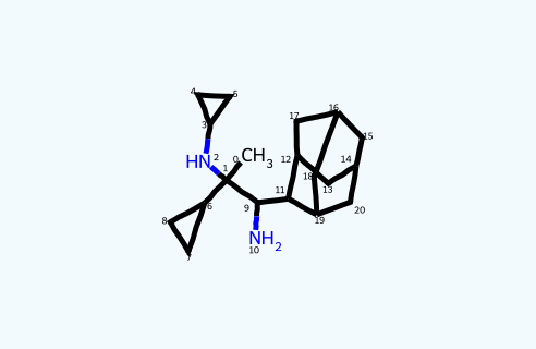 CC(NC1CC1)(C1CC1)C(N)C1C2CC3CC(C2)CC1C3